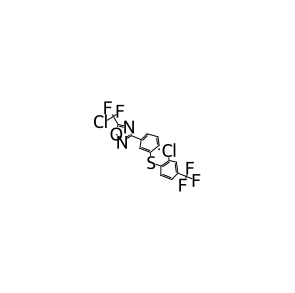 FC(F)(F)c1ccc(Sc2[c]ccc(-c3noc(C(F)(F)Cl)n3)c2)c(Cl)c1